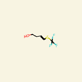 OCC/C=C/SC(F)(F)F